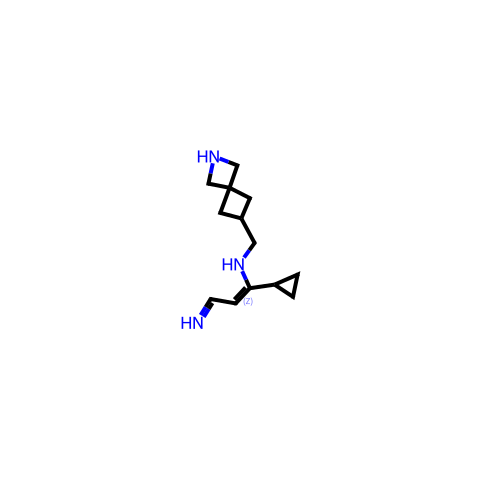 N=C/C=C(\NCC1CC2(CNC2)C1)C1CC1